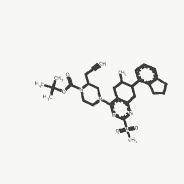 C#CCC1CN(c2nc(S(C)(=O)=O)nc3c2CC(C)C(c2cccc4c2CCC4)C3)CCN1C(=O)OC(C)(C)C